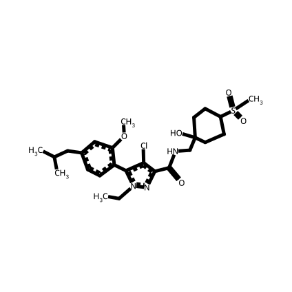 CCn1nc(C(=O)NCC2(O)CCC(S(C)(=O)=O)CC2)c(Cl)c1-c1ccc(CC(C)C)cc1OC